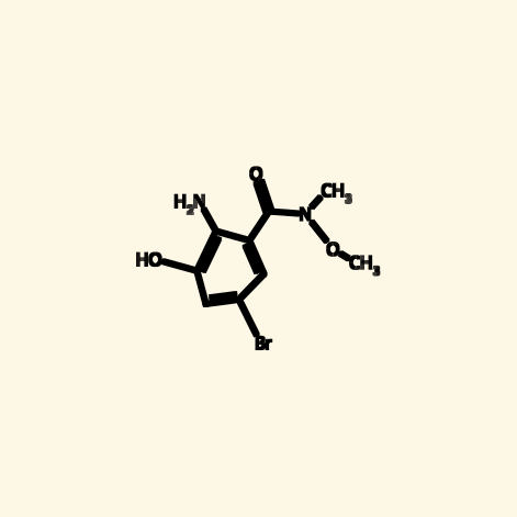 CON(C)C(=O)c1cc(Br)cc(O)c1N